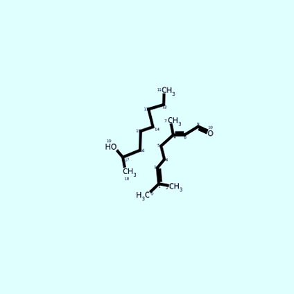 CC(C)=CCCC(C)=CC=O.CCCCCCC(C)O